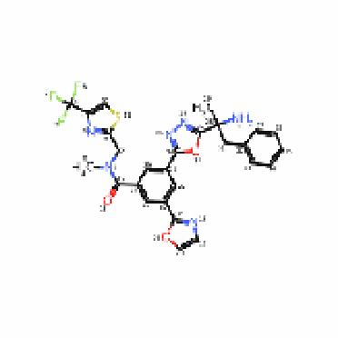 CN(Cc1nc(C(F)(F)F)cs1)C(=O)c1cc(-c2ncco2)cc(-c2nnc(C(C)(N)Cc3ccccc3)o2)c1